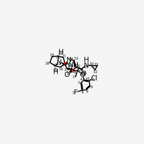 CC(C)(Oc1cc(F)ccc1Cl)C(=O)N[C@H]1C[C@H]2CC[C@@H](C1)N2c1ccc(C(=O)NC2CC2)cn1